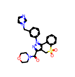 O=C(c1nn(-c2cccc(Cn3ccnc3)c2)c2c1CS(=O)(=O)c1ccccc1-2)N1CCOCC1